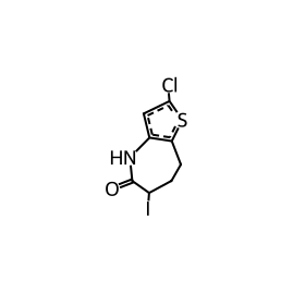 O=C1Nc2cc(Cl)sc2CCC1I